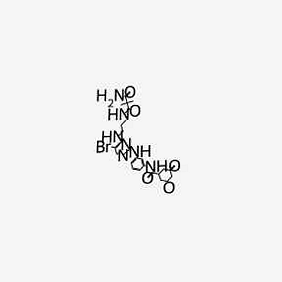 CC(C)(C(N)=O)C(=O)NCCCNc1nc(Nc2cccc(NC(=O)C3CC(=O)CC(=O)C3)c2)ncc1Br